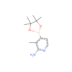 Cc1c(B2OC(C)(C)C(C)(C)O2)ccnc1N